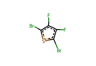 Fc1c(Br)sc(Br)c1F